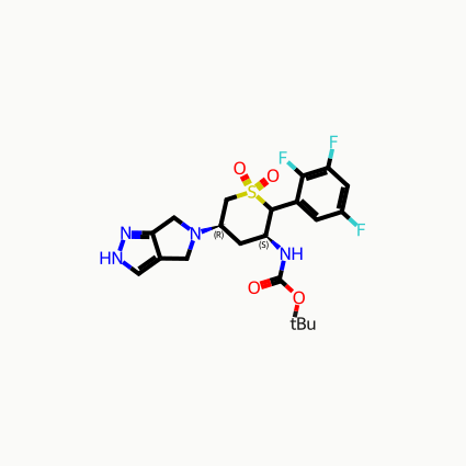 CC(C)(C)OC(=O)N[C@H]1C[C@@H](N2Cc3c[nH]nc3C2)CS(=O)(=O)C1c1cc(F)cc(F)c1F